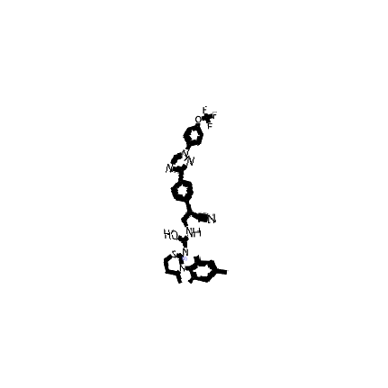 Cc1cc(C)c(N2/C(=N/C(O)NCC(C#N)c3ccc(-c4ncn(-c5ccc(OC(F)(F)F)cc5)n4)cc3)SCCC2C)c(C)c1